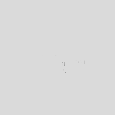 CC(CSC(=O)c1ccccc1)C(=O)N(CC(=O)O)N(C)c1ccccc1